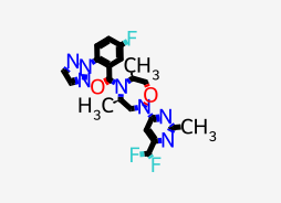 Cc1nc(C(F)F)cc(N2C[C@H](C)N(C(=O)c3cc(F)ccc3-n3nccn3)[C@H](C)CO2)n1